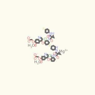 COc1cc2c(Oc3cccc(NC(=O)C4(C(=O)Nc5ccc(F)cc5)CC4)c3Cl)ccnc2cc1OCC(=O)[O-].COc1cc2c(Oc3cccc(NC(=O)C4(C(=O)Nc5ccc(F)cc5)CC4)c3Cl)ccnc2cc1OCC(=O)[O-].[Mg+2]